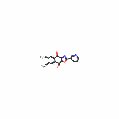 C=C/C=C1/C(=O)c2nc(-c3cccnc3)oc2C(=O)/C1=C/C=C